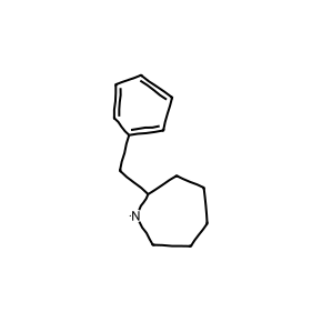 c1ccc(CC2CCCCC[N]2)cc1